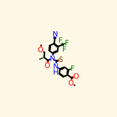 COC[C@H](C)C(=O)N(C(=S)Nc1ccc(C(=O)OC)c(F)c1)c1ccc(C#N)c(C(F)(F)F)c1